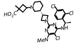 CNc1nc(N2CC([C@H]3CCCN(C4CC(C)(C(=O)O)C4)C3)C2)nc(N[C@H](C)c2ccc(Cl)cc2Cl)c1Cl